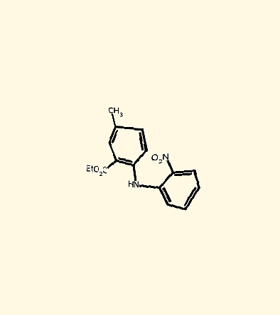 CCOC(=O)c1cc(C)ccc1Nc1ccccc1[N+](=O)[O-]